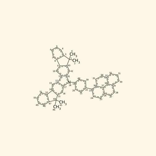 CC1(C)c2ccccc2-c2cc3c4cc5c(cc4n(-c4ccc(-c6ccc7ccc8cccc9ccc6c7c89)cc4)c3cc21)C(C)(C)c1ccccc1-5